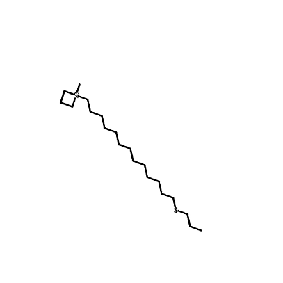 CCCSCCCCCCCCCCCCC[Si]1(C)CCC1